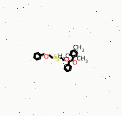 Cc1cc(C)c(C(=O)C(OCCSSCCOCc2ccccc2)c2ccccc2)c(C)c1